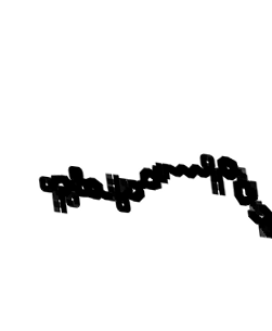 CC1(N)CCN(C2CC=CC(Sc3cccc(NC(=O)CCCCCCN4CC5(CCC(C6=CN=C(C(=O)NCc7ccc8c(c7)CN(C7CCC(=O)NC7=O)C8=O)CC6)CC5)C4)c3)=NC2)CC1